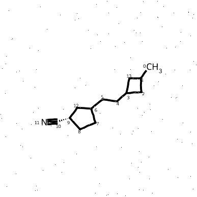 CC1CC(CCC2CC[C@H](C#N)C2)C1